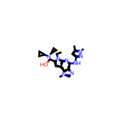 CCn1c(C(O)N(C2CC2)C2CC2)cc2c3c(ncn3C)c(Nc3cc(C)n(C)n3)nc21